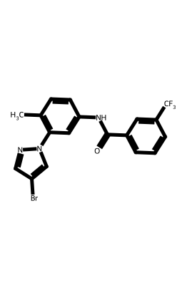 Cc1ccc(NC(=O)c2cccc(C(F)(F)F)c2)cc1-n1cc(Br)cn1